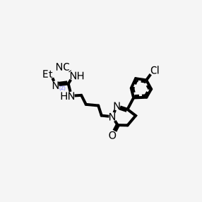 CC/N=C(\NC#N)NCCCCN1N=C(c2ccc(Cl)cc2)CCC1=O